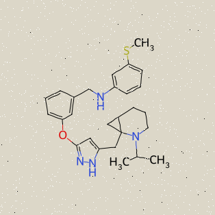 CSc1cccc(NCc2cccc(Oc3cc(CC45CC4CCCN5C(C)C)[nH]n3)c2)c1